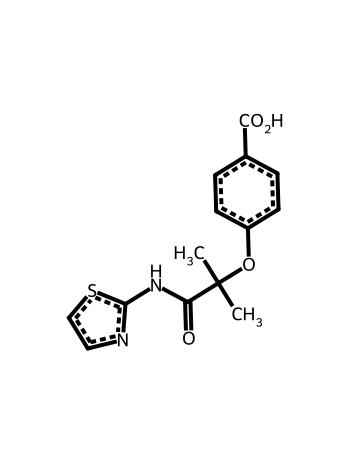 CC(C)(Oc1ccc(C(=O)O)cc1)C(=O)Nc1nccs1